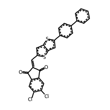 O=C1C(=Cc2cc3sc(-c4ccc(-c5ccccc5)cc4)cc3s2)C(=O)c2cc(Cl)c(Cl)cc21